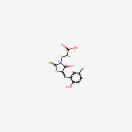 Cc1ccc(O)c(C=C2SC(=S)N(CCC(=O)O)C2=O)c1